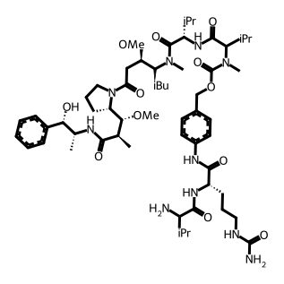 CC[C@H](C)C([C@@H](CC(=O)N1CCC[C@H]1[C@H](OC)[C@@H](C)C(=O)N[C@H](C)[C@@H](O)c1ccccc1)OC)N(C)C(=O)[C@@H](NC(=O)C(C(C)C)N(C)C(=O)OCc1ccc(NC(=O)[C@H](CCCNC(N)=O)NC(=O)C(N)C(C)C)cc1)C(C)C